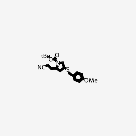 COc1ccc(CSC2CC(CCC#N)N(C(=O)OC(C)(C)C)C2)cc1